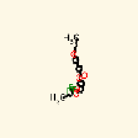 CCCCCCOc1ccc(-c2ccc(C(=O)Oc3ccc(/C=C\C(=O)O[C@@H](CCCC)C(F)(F)F)cc3)cc2)cc1